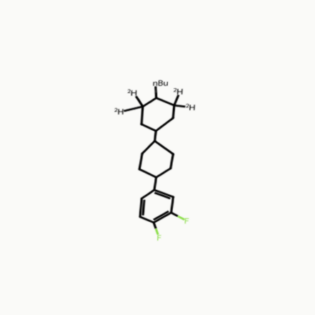 [2H]C1([2H])CC(C2CCC(c3ccc(F)c(F)c3)CC2)CC([2H])([2H])C1CCCC